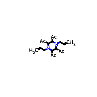 C=CCN1C(C(C)=O)C(C(C)=O)N(CC=C)C(C(C)=O)C1C(C)=O